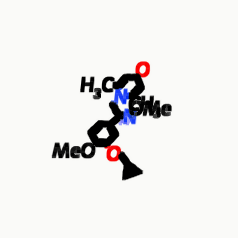 CO/N=C(\Cn1c(C)cc(=O)cc1C)c1ccc(OC)c(OCC2CC2)c1